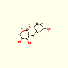 OC1=C(O)C2CC3CC(O)C=CC3OC2OC1